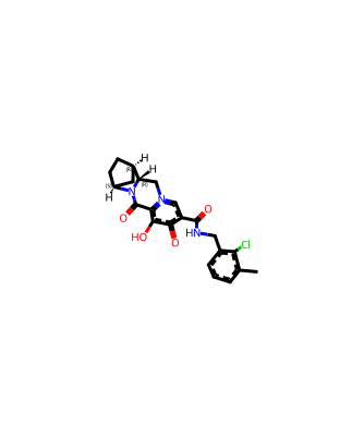 Cc1cccc(CNC(=O)c2cn3c(c(O)c2=O)C(=O)N2[C@H]4CC[C@H](C4)[C@@H]2C3)c1Cl